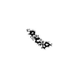 N#Cc1ccc(NC(=O)c2ccc(S(=O)(=O)N3CCc4cc(Cl)ccc43)nc2)c(C(=O)O)c1